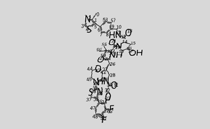 Cc1ncsc1-c1ccc(CNC(=O)[C@@H]2C[C@@H](O)CN2C(=O)[C@@H](NC(=O)CCCNC(=O)COc2c(-c3csc(N4CCOCC4)n3)ccc(F)c2F)C(C)(C)C)cc1